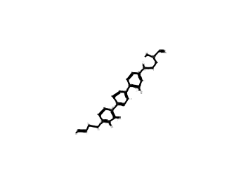 C=CC1CCC(c2ccc(-c3ccc(-c4ccc(CC/C=C/C)c(F)c4F)cc3)c(F)c2)OC1